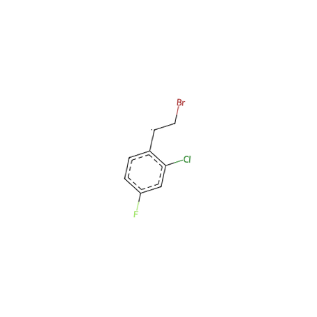 Fc1ccc([CH]CBr)c(Cl)c1